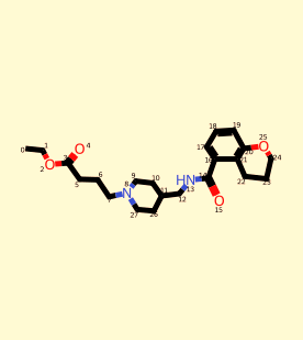 CCOC(=O)CCCN1CCC(CNC(=O)c2cccc3c2CCCO3)CC1